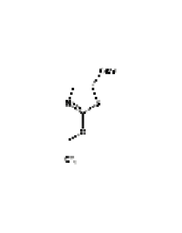 COc1cnc(OCC(F)(F)F)s1